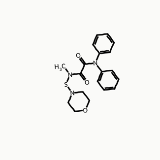 CN(SN1CCOCC1)C(=O)C(=O)N(c1ccccc1)c1ccccc1